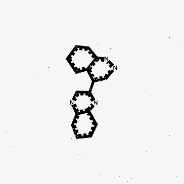 [c]1nnc2ccccc2c1-c1cnc2ccccc2n1